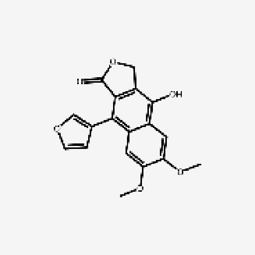 COc1cc2c(O)c3c(c(-c4ccoc4)c2cc1OC)C(=O)OC3